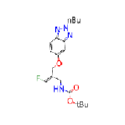 CCCCn1nc2ccc(OC/C(=C\F)CNC(=O)OC(C)(C)C)cc2n1